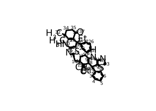 CC[C@]1(c2ccccc2)C2=C(CCC(C)(Cc3nc4c(s3)[C@@](CC)(c3ccccc3)C3=C(N4)C(C)(C)CCC3=O)C2=O)Nc2ncsc21